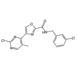 Cc1cnc(Cl)nc1-c1coc(C(=O)NCc2cccc(Cl)c2)n1